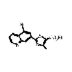 CCOC(=O)c1sc(-c2cc(Br)c3cccnc3c2)nc1C